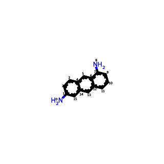 Nc1ccc2cc3c(N)cccc3cc2c1